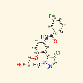 Cn1ncc(Cl)c1-c1cc(NC(=O)c2cccc(F)c2)ccc1OCCO